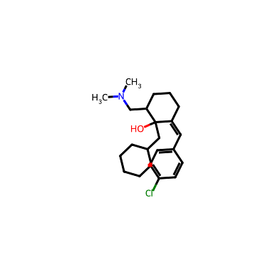 CN(C)CC1CCC/C(=C/c2ccc(Cl)cc2)C1(O)CC1CCCCC1